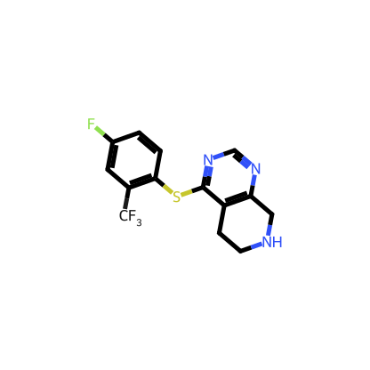 Fc1ccc(Sc2ncnc3c2CCNC3)c(C(F)(F)F)c1